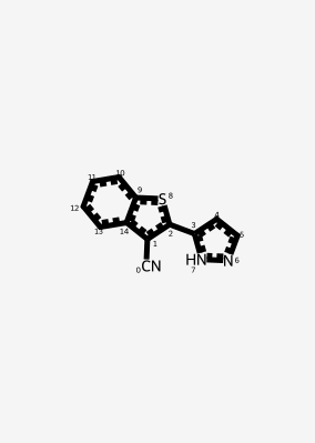 N#Cc1c(-c2ccn[nH]2)sc2ccccc12